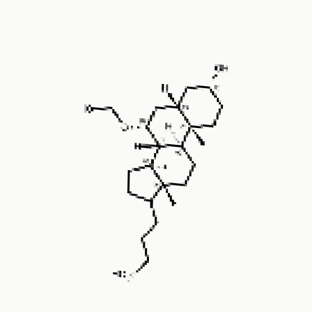 C[C@]12CC[C@@H](O)C[C@H]1C[C@@H](OCO)[C@@H]1[C@@H]2CC[C@]2(C)C(CCCC(=O)O)CC[C@@H]12